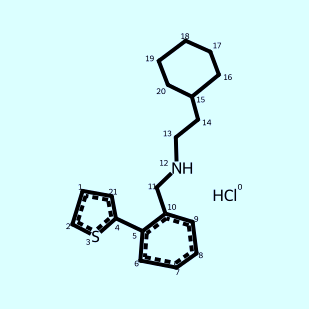 Cl.c1csc(-c2ccccc2CNCCC2CCCCC2)c1